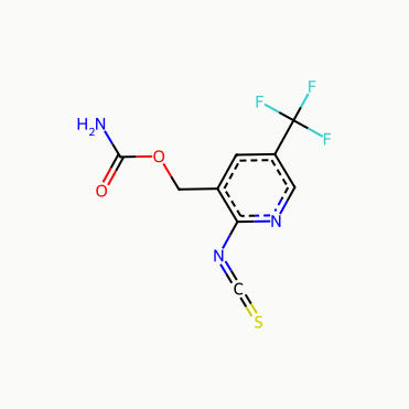 NC(=O)OCc1cc(C(F)(F)F)cnc1N=C=S